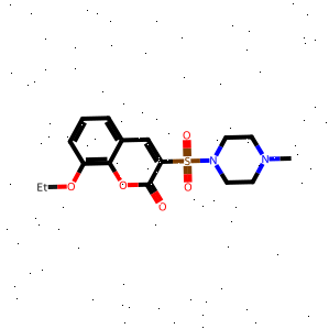 CCOc1cccc2cc(S(=O)(=O)N3CCN(C)CC3)c(=O)oc12